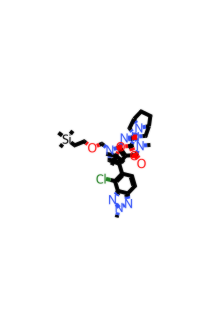 Cn1nc2ccc(-c3cn(COCC[Si](C)(C)C)c4nc(N5C6CCC5CN(C(=O)OC(C)(C)C)C6)n(C)c(=O)c34)c(Cl)c2n1